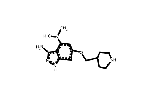 CN(C)c1cc(OCC2CCNCC2)cc2[nH]nc(N)c12